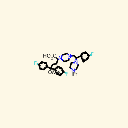 COC(CCC(C(=O)O)N1CCN(CC(c2ccc(F)cc2)N2CCN(C(C)C)CC2)CC1)(c1ccc(F)cc1)c1ccc(F)cc1